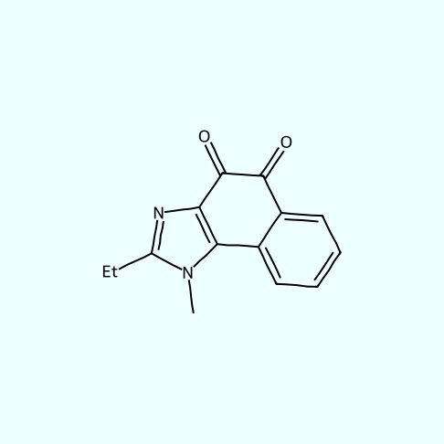 CCc1nc2c(n1C)-c1ccccc1C(=O)C2=O